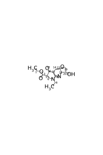 CCOC(=O)c1cn(CC)c2nc3c(cc2c1=O)OCC3O